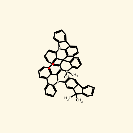 CC1(C)c2ccccc2-c2ccc(N(c3ccccc3-c3ccccc3)c3cccc4c3[Si](C)(C)c3ccccc3C43c4ccccc4-n4c5ccccc5c5cccc3c54)cc21